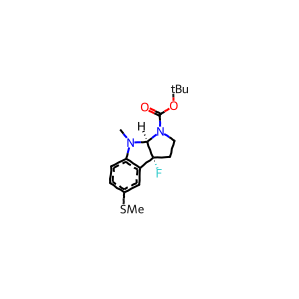 CSc1ccc2c(c1)[C@]1(F)CCN(C(=O)OC(C)(C)C)[C@@H]1N2C